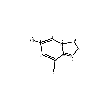 ClC1=CN2CCN=C2C(Cl)=C1